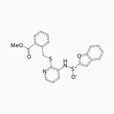 COC(=O)c1ccccc1CSc1ncccc1N[S+]([O-])c1cc2ccccc2o1